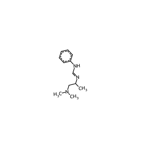 CC(CN(C)C)/N=C/Nc1ccccc1